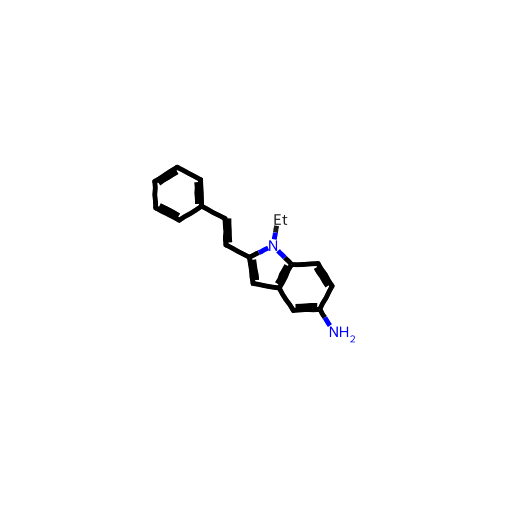 CCn1c(C=Cc2ccccc2)cc2cc(N)ccc21